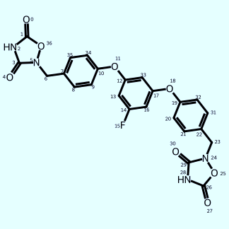 O=c1[nH]c(=O)n(Cc2ccc(Oc3cc(F)cc(Oc4ccc(Cn5oc(=O)[nH]c5=O)cc4)c3)cc2)o1